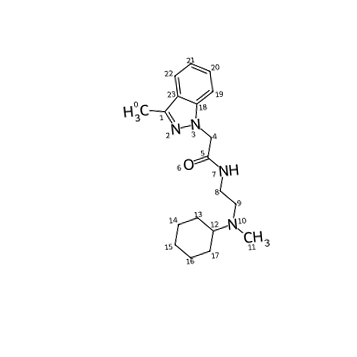 Cc1nn(CC(=O)NCCN(C)C2CCCCC2)c2ccccc12